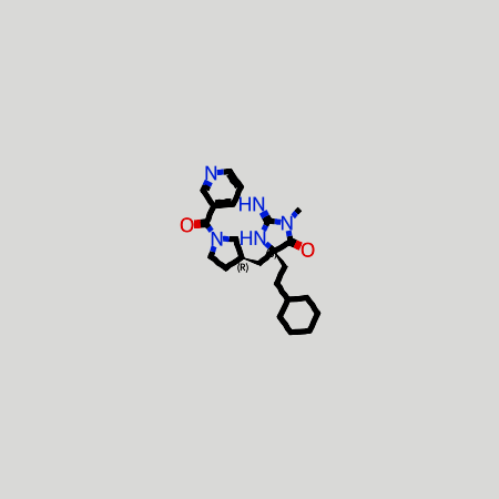 CN1C(=N)N[C@@](CCC2CCCCC2)(C[C@H]2CCN(C(=O)c3cccnc3)C2)C1=O